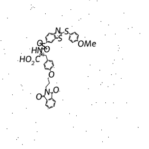 COc1ccc(Sc2nc3ccc(S(=O)(=O)N[C@H](Cc4ccc(OCCCN5C(=O)c6ccccc6C5=O)cc4)C(=O)O)cc3s2)cc1